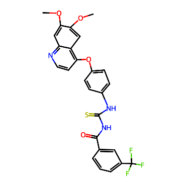 COc1cc2nccc(Oc3ccc(NC(=S)NC(=O)c4cccc(C(F)(F)F)c4)cc3)c2cc1OC